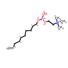 CCCCCCCCCCCCCCCCCCOP(O)OCC[N+](C)(C)C